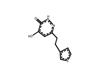 O=c1[nH]nc(CCc2ccsc2)cc1O